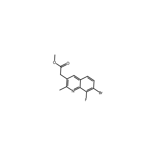 COC(=O)Cc1cc2ccc(Br)c(F)c2nc1C